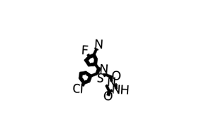 N#Cc1cc(-c2nc(C(=O)N3CNC(=O)C3)sc2-c2cccc(Cl)c2)ccc1F